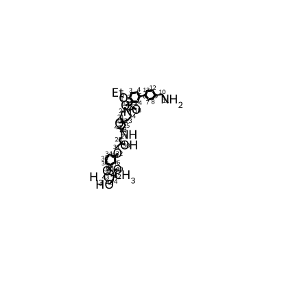 CCOc1ccc(-c2ccc(CN)cc2)cc1S(=O)(=O)N1CCC2(CC1)C[C@H](NCC(O)COc1cccc(S(=O)(=O)C(C)(C)CO)c1)CO2